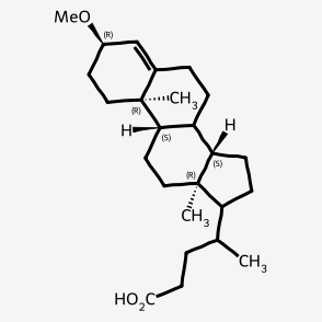 CO[C@H]1C=C2CCC3[C@H](CC[C@]4(C)C(C(C)CCC(=O)O)CC[C@@H]34)[C@@]2(C)CC1